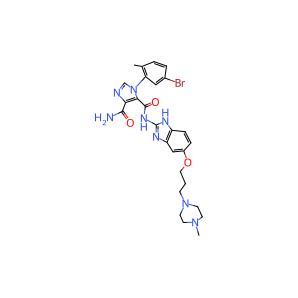 Cc1ccc(Br)cc1-n1cnc(C(N)=O)c1C(=O)Nc1nc2cc(OCCCN3CCN(C)CC3)ccc2[nH]1